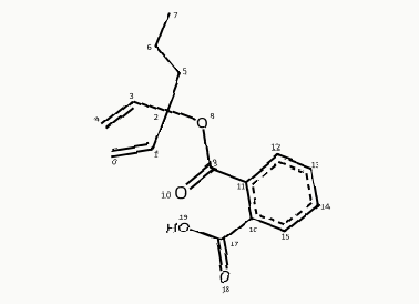 C=CC(C=C)(CCC)OC(=O)c1ccccc1C(=O)O